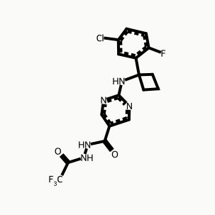 O=C(NNC(=O)C(F)(F)F)c1cnc(NC2(c3cc(Cl)ccc3F)CCC2)nc1